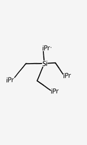 C[C](C)[Si](CC(C)C)(CC(C)C)CC(C)C